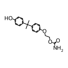 CC(C)(c1ccc(O)cc1)c1ccc(OCCOC(N)=O)cc1